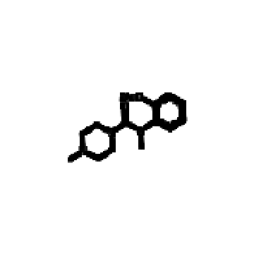 COc1ccccc1N(C)C(=O)N1CCN(C)CC1